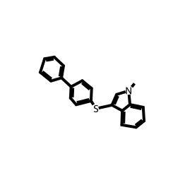 Cn1cc(Sc2ccc(-c3ccccc3)cc2)c2ccccc21